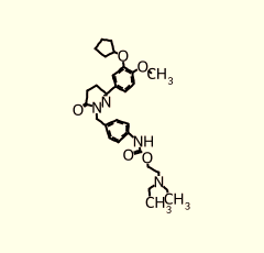 CCN(CC)CCOC(=O)Nc1ccc(CN2N=C(c3ccc(OC)c(OC4CCCC4)c3)CCC2=O)cc1